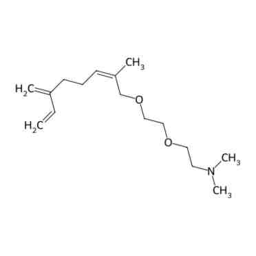 C=CC(=C)CC/C=C(/C)COCCOCCN(C)C